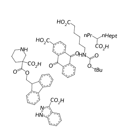 CC(C)(C)OC(=O)NCCCCCC(=O)O.CCCCCCCC(CCC)C(=O)O.O=C(O)C1(C(=O)OCC2c3ccccc3-c3ccccc32)CCCNC1.O=C(O)c1ccc2c(c1)C(=O)c1ccccc1C2=O.O=C(O)c1n[nH]c2ccccc12